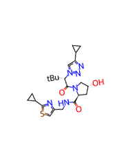 CC(C)(C)[C@@H](C(=O)N1C[C@H](O)C[C@H]1C(=O)NCc1csc(C2CC2)n1)n1cc(C2CC2)nn1